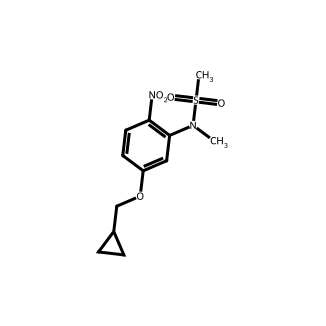 CN(c1cc(OCC2CC2)ccc1[N+](=O)[O-])S(C)(=O)=O